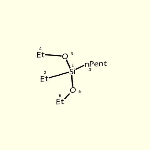 CCCCC[Si](CC)(OCC)OCC